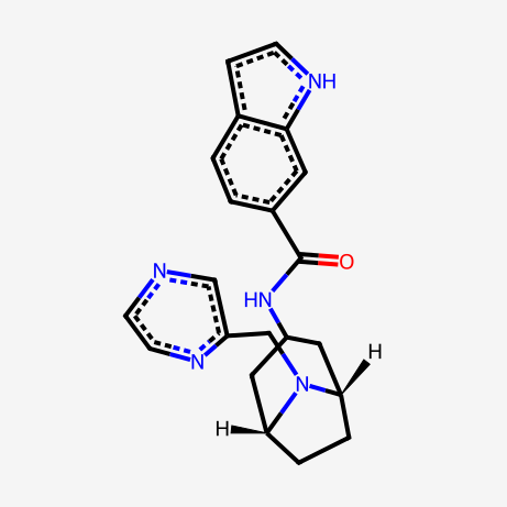 O=C(NC1C[C@H]2CC[C@@H](C1)N2Cc1cnccn1)c1ccc2cc[nH]c2c1